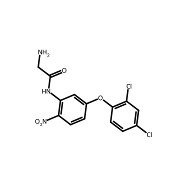 NCC(=O)Nc1cc(Oc2ccc(Cl)cc2Cl)ccc1[N+](=O)[O-]